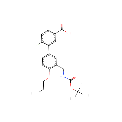 CCCOc1ccc(-c2cc(C(=O)O)ccc2F)cc1CNC(=O)OC(C)(C)C